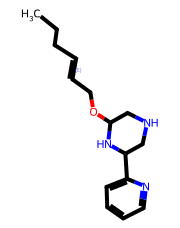 CCC/C=C/COC1CNCC(c2ccccn2)N1